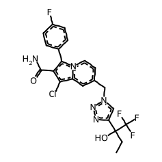 CCC(O)(c1cn(Cc2ccn3c(-c4ccc(F)cc4)c(C(N)=O)c(Cl)c3c2)nn1)C(F)(F)F